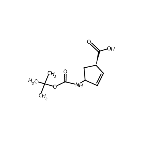 CC(C)(C)OC(=O)NC1C=C[C@H](C(=O)O)C1